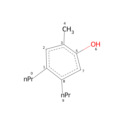 CCCc1cc(C)c(O)cc1CCC